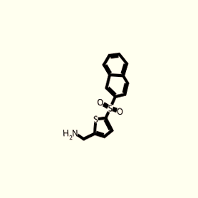 NCc1ccc(S(=O)(=O)c2ccc3ccccc3c2)s1